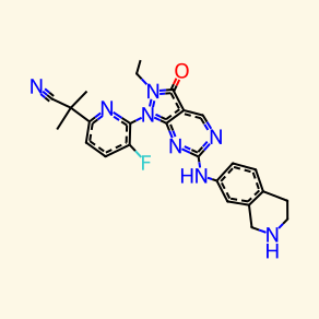 CCn1c(=O)c2cnc(Nc3ccc4c(c3)CNCC4)nc2n1-c1nc(C(C)(C)C#N)ccc1F